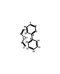 C=COC=C.c1ccc(-c2ccccc2)cc1